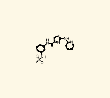 CS(=O)(=O)Nc1cccc(NC(=O)c2csc(Nc3ccccn3)n2)c1